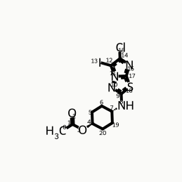 CC(=O)O[C@H]1CC[C@H](Nc2nn3c(I)c(Cl)nc3s2)CC1